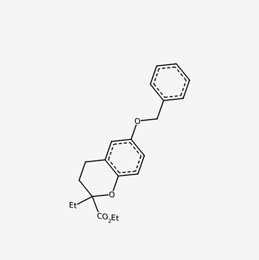 CCOC(=O)C1(CC)CCc2cc(OCc3ccccc3)ccc2O1